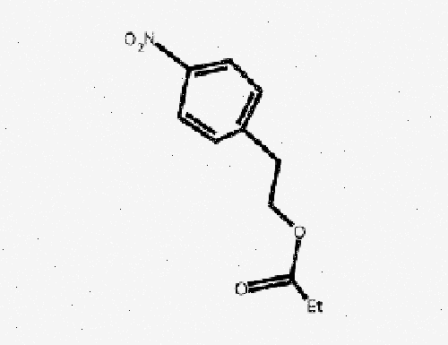 CCC(=O)OCCc1ccc([N+](=O)[O-])cc1